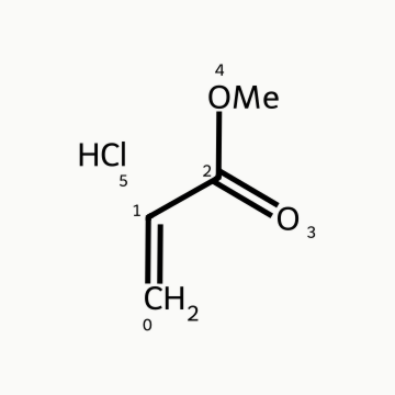 C=CC(=O)OC.Cl